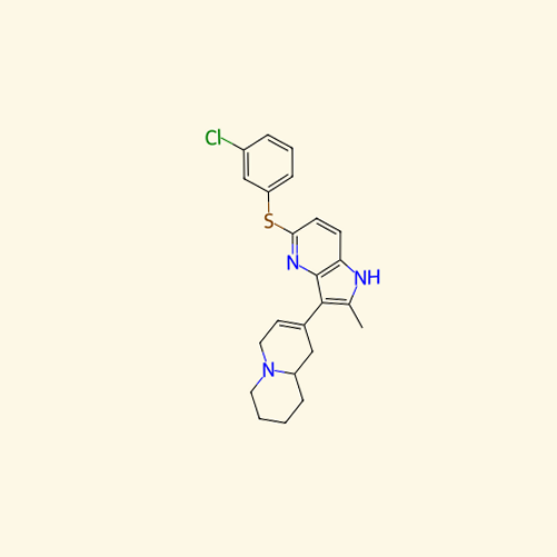 Cc1[nH]c2ccc(Sc3cccc(Cl)c3)nc2c1C1=CCN2CCCCC2C1